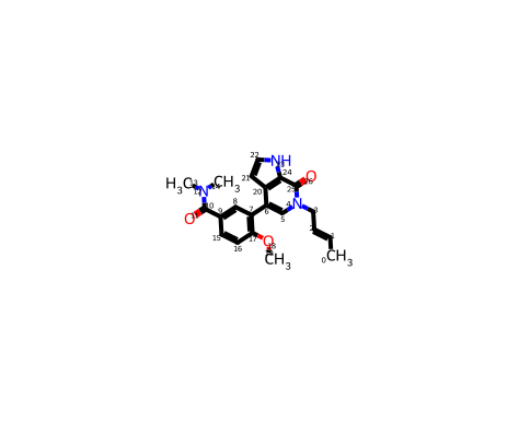 CC=CCn1cc(-c2cc(C(=O)N(C)C)ccc2OC)c2cc[nH]c2c1=O